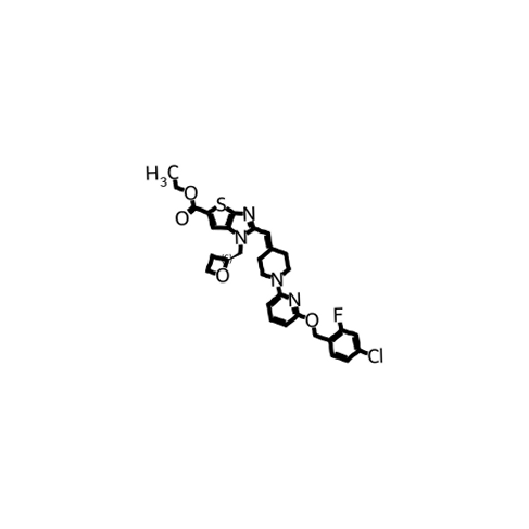 CCOC(=O)c1cc2c(nc(C=C3CCN(c4cccc(OCc5ccc(Cl)cc5F)n4)CC3)n2C[C@@H]2CCO2)s1